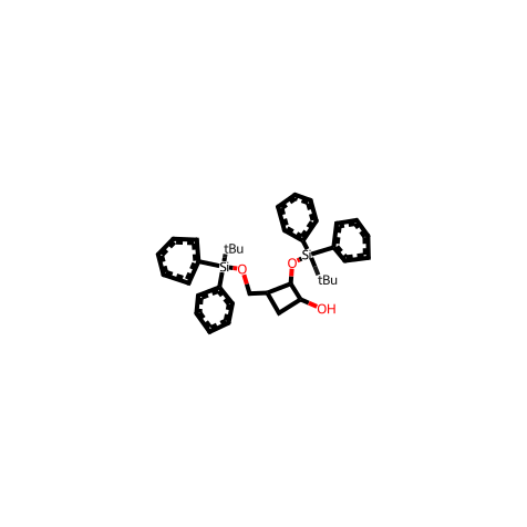 CC(C)(C)[Si](OCC1CC(O)C1O[Si](c1ccccc1)(c1ccccc1)C(C)(C)C)(c1ccccc1)c1ccccc1